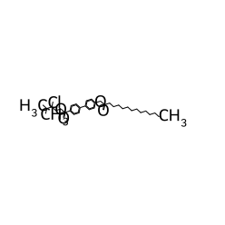 CCCCCCCCCCCCCC(=O)Oc1ccc(-c2ccc(C(=O)OCC(Cl)C(C)C)cc2)cc1